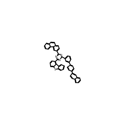 c1cc(-c2ccc(-c3ccc4ccccc4c3)cc2)cc(-c2nc(-c3ccc4ccc5ccccc5c4c3)nc(-c3cccc4sc5ccccc5c34)n2)c1